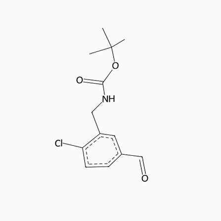 CC(C)(C)OC(=O)NCc1cc(C=O)ccc1Cl